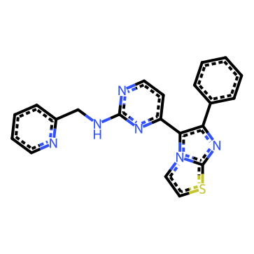 c1ccc(-c2nc3sccn3c2-c2ccnc(NCc3ccccn3)n2)cc1